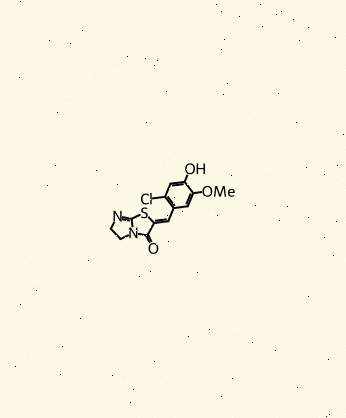 COc1cc(/C=c2\sc3n(c2=O)CCN=3)c(Cl)cc1O